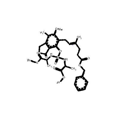 COc1c(C)c2c(c(OP(=O)(NC(C)C(=O)OC(C)C)NC(C)C(=O)OC(C)C)c1C/C=C(\C)CCC(=O)OCc1ccccc1)C(=O)OC2